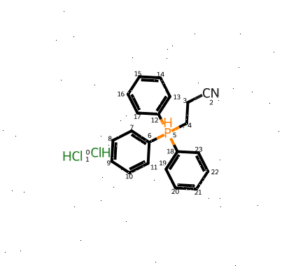 Cl.Cl.N#CCC[PH](c1ccccc1)(c1ccccc1)c1ccccc1